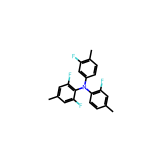 Cc1ccc(N(c2ccc(C)c(F)c2)c2c(F)cc(C)cc2F)c(F)c1